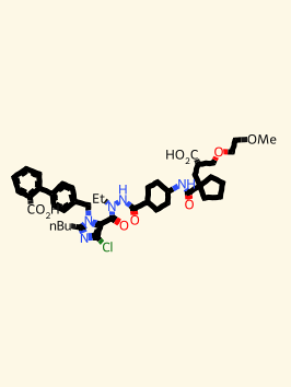 CCCCc1nc(Cl)c(C(=O)N(CC)NC(=O)C2CCC(NC(=O)C3(CC(COCCOC)C(=O)O)CCCC3)CC2)n1Cc1ccc(-c2ccccc2C(=O)O)cc1